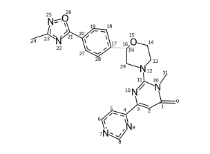 C=C1C=C(c2ccncn2)N=C(N2CCO[C@@H](c3ccc(-c4nc(C)no4)cc3)C2)N1C